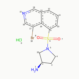 Cl.N[C@@H]1CCN(S(=O)(=O)c2cccc3cncc(Br)c23)C1